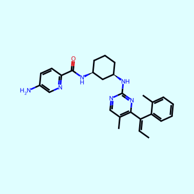 C/C=C(\c1ccccc1C)c1nc(N[C@@H]2CCC[C@H](NC(=O)c3ccc(N)cn3)C2)ncc1C